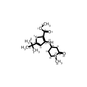 COC(=O)c1sc(C(C)(C)C)cc1NC1CCN(C)C(=O)C1